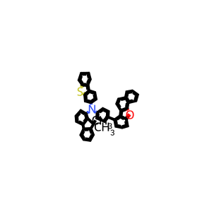 CC1(C)c2ccccc2-c2cccc(N(c3ccc(-c4cccc5oc6c7ccccc7ccc6c45)cc3)c3ccc4c(c3)sc3ccccc34)c21